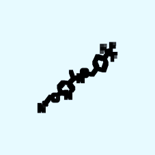 C/C(=N\OCc1ccc(C(F)(F)F)cc1)c1ccc(OCC#N)nc1